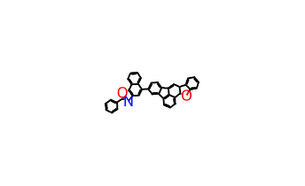 C1=C2c3ccc(-c4cc5nc(-c6ccccc6)oc5c5ccccc45)cc3-c3cccc(c32)C2Oc3ccccc3C12